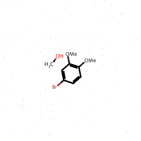 CO.COc1ccc(Br)cc1OC